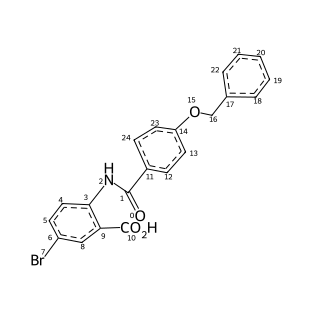 O=C(Nc1ccc(Br)cc1C(=O)O)c1ccc(OCc2ccccc2)cc1